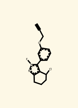 C#CCOc1cccc(-c2c3c(nn2F)CCCC3Cl)c1